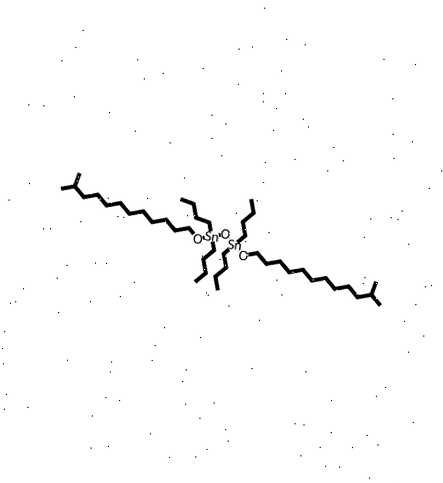 CCC[CH2][Sn]([CH2]CCC)([O]CCCCCCCCCCC(C)C)[O][Sn]([CH2]CCC)([CH2]CCC)[O]CCCCCCCCCCC(C)C